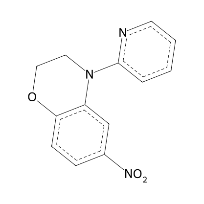 O=[N+]([O-])c1ccc2c(c1)N(c1ccccn1)CCO2